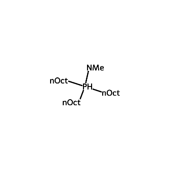 CCCCCCCC[PH](CCCCCCCC)(CCCCCCCC)NC